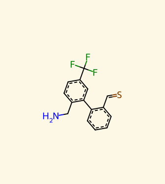 NCc1ccc(C(F)(F)F)cc1-c1ccccc1C=S